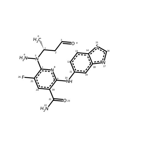 C[C@H](CC=O)N(N)c1nc(Nc2ccc3scnc3c2)c(C(N)=O)cc1F